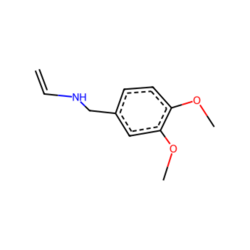 C=CNCc1ccc(OC)c(OC)c1